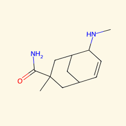 CNC1C=CC2CC1CC(C)(C(N)=O)C2